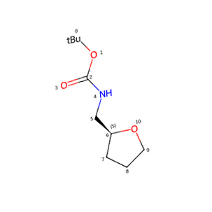 CC(C)(C)OC(=O)NC[C@@H]1CCCO1